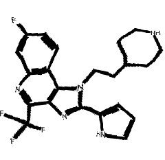 Fc1ccc2c(c1)nc(C(F)(F)F)c1nc(-c3ccc[nH]3)n(CCC3CCNCC3)c12